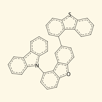 c1cc(-n2c3ccccc3c3ccccc32)c2c(c1)oc1ccc(-c3cccc4sc5ccccc5c34)cc12